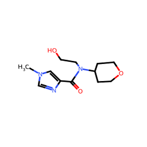 Cn1cnc(C(=O)N(CCO)C2CCOCC2)c1